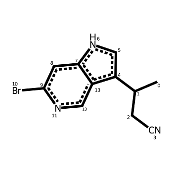 CC(CC#N)c1c[nH]c2cc(Br)ncc12